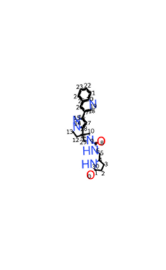 O=C1CCC(CNC(=O)N2CC3(CCn4nc(-c5cnc6ccccc6c5)cc43)C2)N1